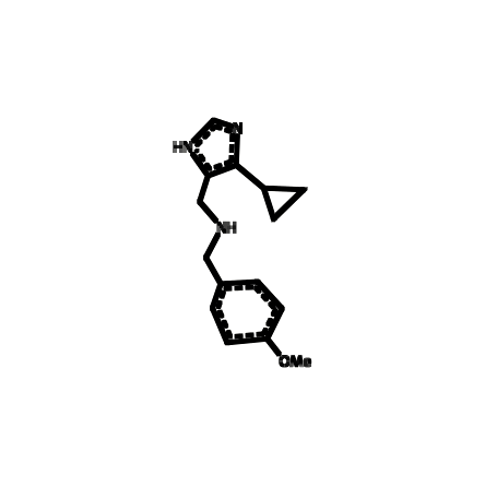 COc1ccc(CNCc2[nH]cnc2C2CC2)cc1